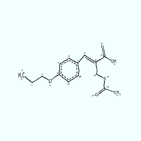 CCCOc1ccc(C=C(CSC(C)=O)C(=O)O)cc1